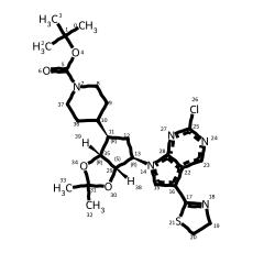 CC(C)(C)OC(=O)N1CCC([C@H]2C[C@@H](n3cc(C4=NCCS4)c4cnc(Cl)nc43)[C@@H]3OC(C)(C)O[C@@H]32)CC1